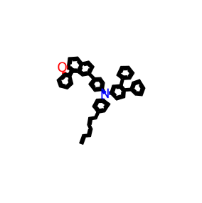 C=C/C=C\C=C/Cc1ccc(N(c2ccc(-c3ccc4ccc5oc6ccccc6c5c4c3)cc2)c2ccc(-c3ccccc3)c(-c3ccccc3)c2)cc1